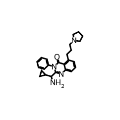 NC(c1nc2cccc(CCCN3CCCC3)c2c(=O)n1-c1ccccc1)C1CC1